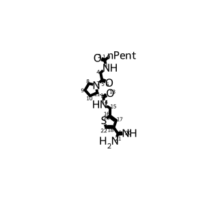 CCCCCC(=O)NCC(=O)N1CCC[C@H]1C(=O)NCc1cc(C(=N)N)cs1